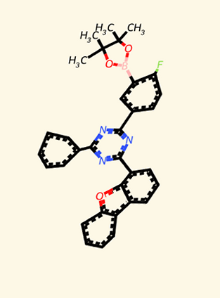 CC1(C)OB(c2cc(-c3nc(-c4ccccc4)nc(-c4cccc5c4oc4ccccc45)n3)ccc2F)OC1(C)C